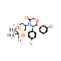 CCC(CS(=O)(=O)C(C)(C)C)N1C(=O)CO[C@H](c2cccc(Cl)c2)[C@H]1c1ccc(Cl)cc1